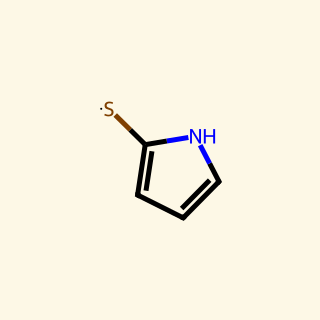 [S]c1ccc[nH]1